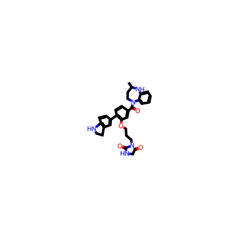 CC1CCN(C(=O)c2ccc(-c3ccc4c(c3)CCN4)c(OCCCN3C(=O)CNC3=O)c2)c2ccccc2N1